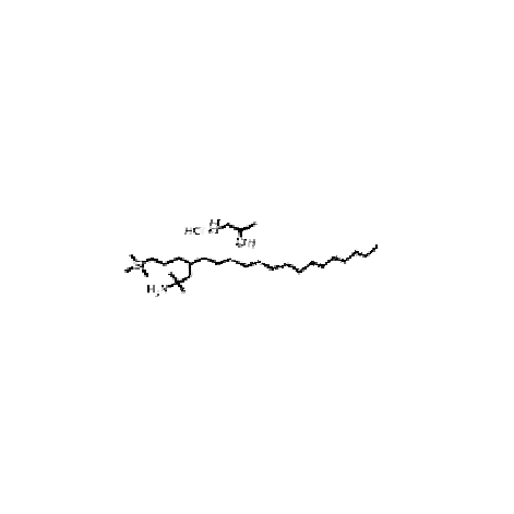 CC(O)CO.CCCCCCCCCCCCCCCC(CCC[Si](C)(C)C)CC(C)(C)N.Cl